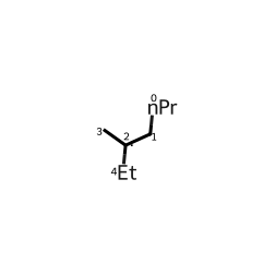 [CH2]CCC[C](C)CC